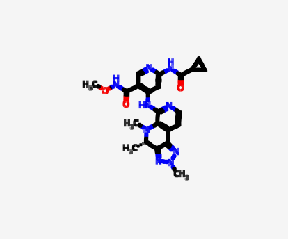 CONC(=O)c1cnc(NC(=O)C2CC2)cc1Nc1nccc2c1N(C)[C@@H](C)c1nn(C)nc1-2